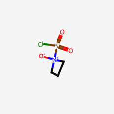 O=S(=O)(Cl)[N+]1([O-])CCC1